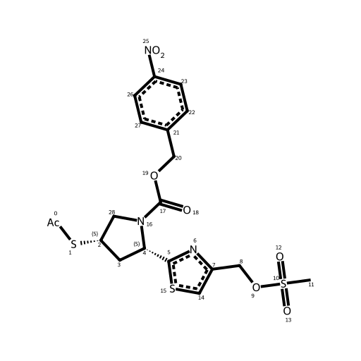 CC(=O)S[C@H]1C[C@@H](c2nc(COS(C)(=O)=O)cs2)N(C(=O)OCc2ccc([N+](=O)[O-])cc2)C1